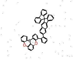 c1ccc2c(c1)Oc1cccc3c1B2c1cccc(-c2ccccc2-c2ccc4cc5c(cc4c2)-c2ccccc2C52c4ccccc4-c4ccccc42)c1O3